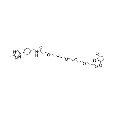 Cc1nnc(-c2ccc(CNC(=O)CCOCCOCCOCCOCCOCCC(=O)ON3C(=O)CCC3=O)cc2)nn1